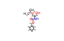 CC(C)OC[C@@H](CO)NC(=O)OCc1ccccc1